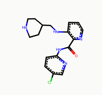 O=C(Nc1ccc(Cl)cn1)c1ncccc1NCC1CCNCC1